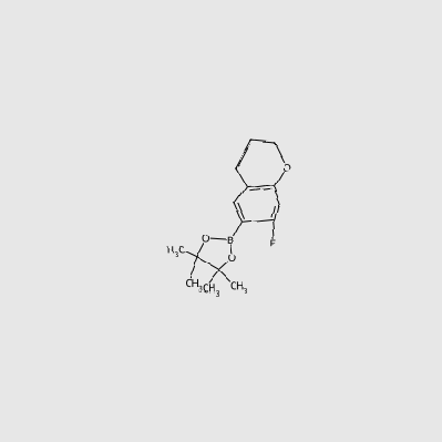 CC1(C)OB(c2cc3c(cc2F)OCCC3)OC1(C)C